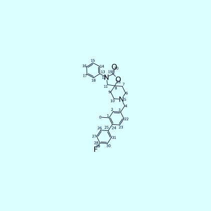 Cc1cc(CN2CCC3(CC2)CN(c2ccccc2)C(=O)O3)ccc1-c1ccc(F)cc1